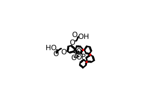 O=C(O)COc1cc(OCC(=O)O)cc(S(=O)(=O)OP(c2ccccc2)(c2ccccc2)(c2ccccc2)c2ccccc2)c1